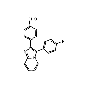 O=Cc1ccc(-c2nc3ccccn3c2-c2ccc(F)cc2)cc1